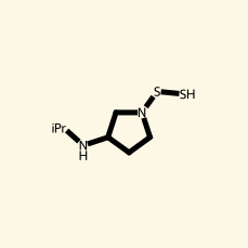 CC(C)NC1CCN(SS)C1